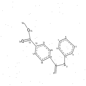 C=C(Sc1ccccc1)c1ccc(C(=O)OC)cc1